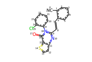 N#Cc1ccccc1/C=C/c1nc2ccsc2c(=O)n1-c1ccccc1Cl